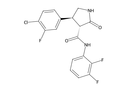 O=C1NC[C@H](c2ccc(Cl)c(F)c2)[C@H]1C(=O)Nc1cccc(F)c1F